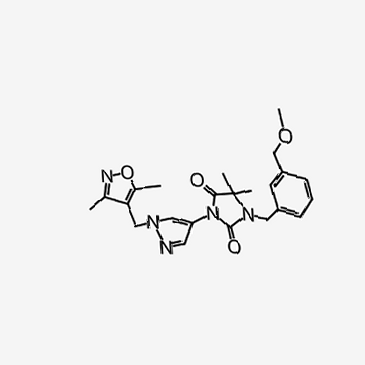 COCc1cccc(CN2C(=O)N(c3cnn(Cc4c(C)noc4C)c3)C(=O)C2(C)C)c1